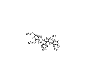 CCC(NC(=O)N1CC(=O)N(Cc2ccc(OC)cc2OC)c2nc(C)cnc21)c1ccc(OC(F)(F)F)cc1